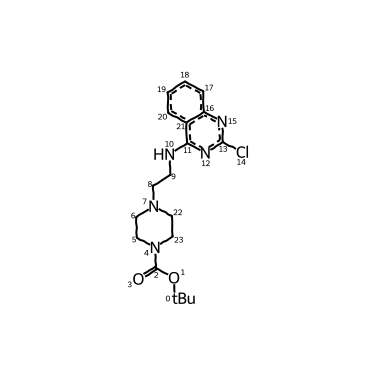 CC(C)(C)OC(=O)N1CCN(CCNc2nc(Cl)nc3ccccc23)CC1